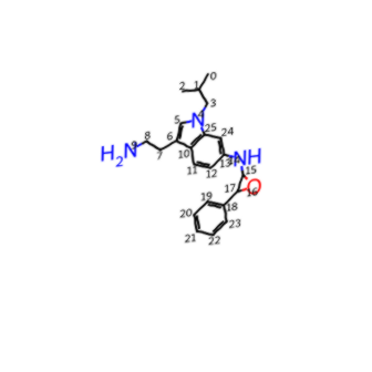 CC(C)Cn1cc(CCN)c2ccc(NC3OC3c3ccccc3)cc21